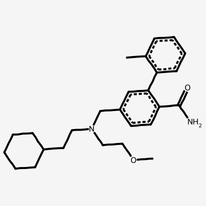 COCCN(CCC1CCCCC1)Cc1ccc(C(N)=O)c(-c2ccccc2C)c1